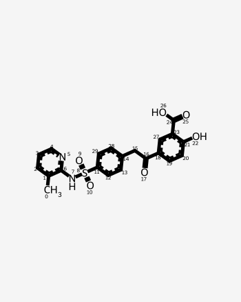 Cc1cccnc1NS(=O)(=O)c1ccc(CC(=O)c2ccc(O)c(C(=O)O)c2)cc1